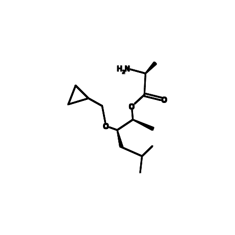 CC(C)C[C@@H](OCC1CC1)[C@H](C)OC(=O)[C@H](C)N